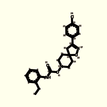 CCc1ccccc1NC(=O)ON1CCC2(CC1)CC(c1ccc(Cl)cc1)=NO2